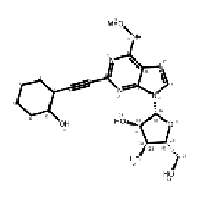 CONc1nc(C#CC2CCCCC2O)nc2c1ncn2[C@@H]1O[C@H](CO)[C@@H](O)[C@H]1O